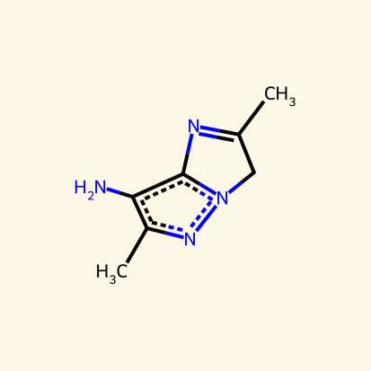 CC1=Nc2c(N)c(C)nn2C1